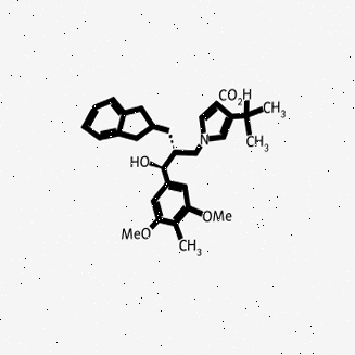 COc1cc([C@@H](O)[C@H](CC2Cc3ccccc3C2)Cn2ccc(C(C)(C)C(=O)O)c2)cc(OC)c1C